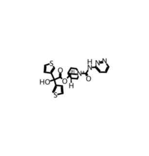 O=C(O[C@H]1C[N+]2(C(=O)Nc3cccnn3)CCC1CC2)C(O)(c1ccsc1)c1ccsc1